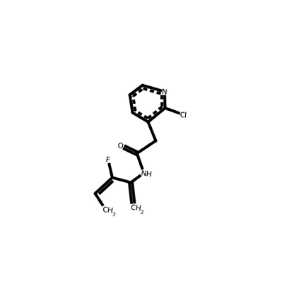 C=C(NC(=O)Cc1cccnc1Cl)/C(F)=C\C